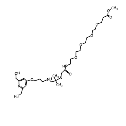 COC(=O)CCOCCOCCOCCOCCNC(=O)CSC(C)(C)CNCCCOc1cc(CO)nc(CO)c1